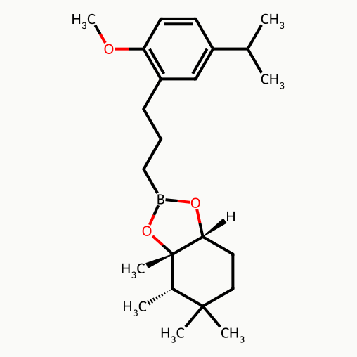 COc1ccc(C(C)C)cc1CCCB1O[C@@H]2CCC(C)(C)[C@H](C)[C@]2(C)O1